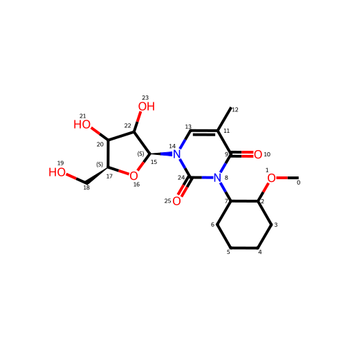 COC1CCCCC1n1c(=O)c(C)cn([C@H]2O[C@@H](CO)C(O)C2O)c1=O